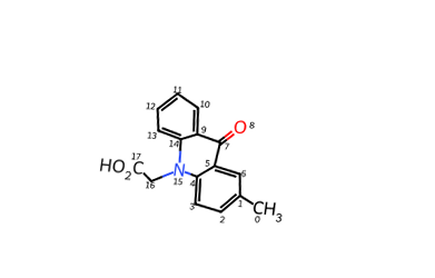 Cc1ccc2c(c1)c(=O)c1ccccc1n2CC(=O)O